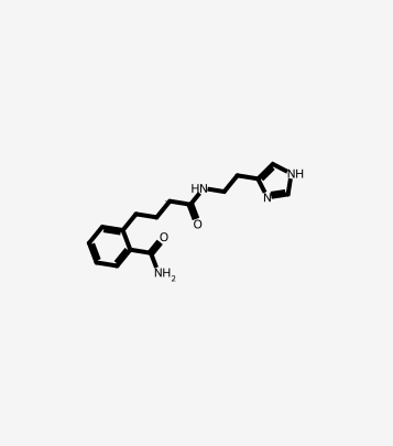 NC(=O)c1ccccc1CC[CH]C(=O)NCCc1c[nH]cn1